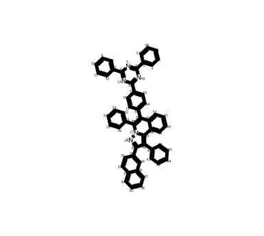 c1ccc(-c2nc(-c3ccccc3)nc(-c3ccc(-c4c(-c5ccccc5)n5nc(-c6ccc7ccccc7c6)c(-c6ccccc6)c5c5ccccc45)cc3)n2)cc1